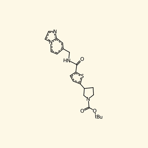 CC(C)(C)OC(=O)N1CCC(c2ccc(C(=O)NCc3ccn4ccnc4c3)s2)C1